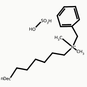 CCCCCCCCCCCCCCCC[N+](C)(C)Cc1ccccc1.O=S(=O)(O)O